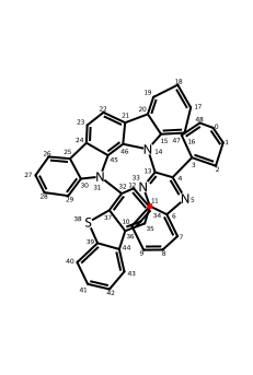 c1ccc(-c2nc3ccccc3nc2-n2c3ccccc3c3ccc4c5ccccc5n(-c5cccc6c5sc5ccccc56)c4c32)cc1